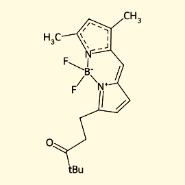 Cc1cc(C)n2c1C=C1C=CC(CCC(=O)C(C)(C)C)=[N+]1[B-]2(F)F